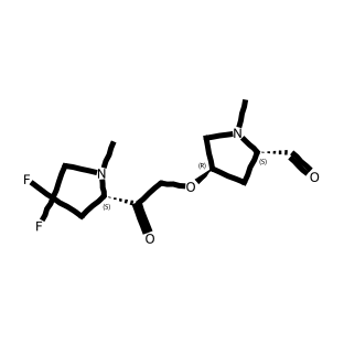 CN1C[C@H](OCC(=O)[C@@H]2CC(F)(F)CN2C)C[C@H]1C=O